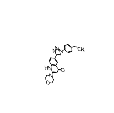 N#CCc1ccc(-n2cc(-c3ccc4[nH]c(N5CCOCC5)cc(=O)c4c3)nn2)cc1